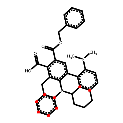 CN(C)c1ccccc1-c1cc(C(=O)OCc2ccccc2)c(C(=O)O)c(Cc2ccccc2)c1P(C1CCCCC1)C1CCCCC1